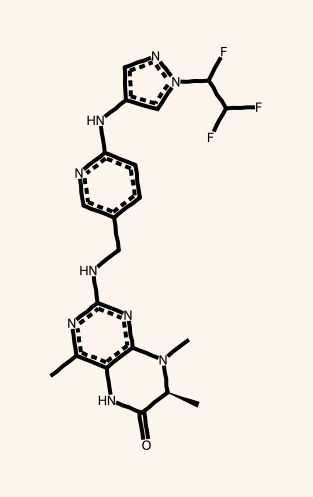 Cc1nc(NCc2ccc(Nc3cnn(C(F)C(F)F)c3)nc2)nc2c1NC(=O)[C@H](C)N2C